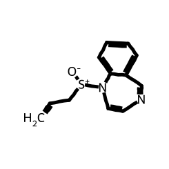 C=CC[S+]([O-])N1C=CN=Cc2ccccc21